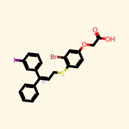 O=C(O)COc1ccc(SC/C=C(/c2ccccc2)c2cccc(I)c2)c(Br)c1